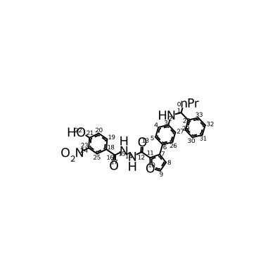 CCCC(Nc1ccc(-c2ccoc2C(=O)NNC(=O)c2ccc(O)c([N+](=O)[O-])c2)cc1)c1ccccc1